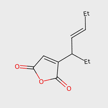 CCC=CC(CC)C1=CC(=O)OC1=O